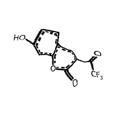 O=C(c1cc2ccc(O)cc2oc1=O)C(F)(F)F